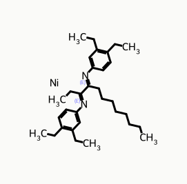 CCCCCCCCC(=N\c1ccc(CC)c(CC)c1)/C(CC)=N/c1ccc(CC)c(CC)c1.[Ni]